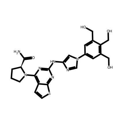 NC(=O)[C@@H]1CCCN1c1nc(Nc2cn(-c3cc(CO)c(CO)c(CO)c3)cn2)nc2sccc12